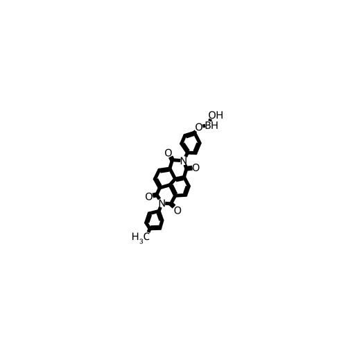 Cc1ccc(N2C(=O)c3ccc4c5c(ccc(c35)C2=O)C(=O)N(c2ccc(OBO)cc2)C4=O)cc1